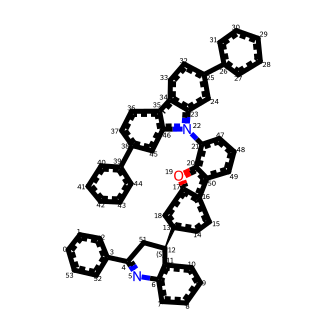 c1ccc(C2=Nc3ccccc3[C@H](c3ccc4c(c3)oc3c(-n5c6cc(-c7ccccc7)ccc6c6ccc(-c7ccccc7)cc65)cccc34)C2)cc1